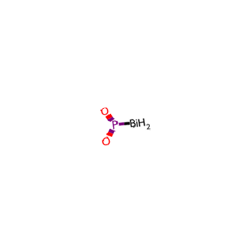 O=[P](=O)[BiH2]